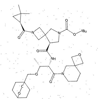 C[C@@H](OCC12CCC(CC1)OC2)[C@H](NC(=O)[C@@H]1CN(C(=O)OC(C)(C)C)CC12CN(C(=O)[C@H]1CC1(C)C)C2)C(=O)N1CCCC2(COC2)C1